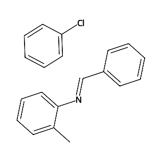 Cc1ccccc1N=Cc1ccccc1.Clc1ccccc1